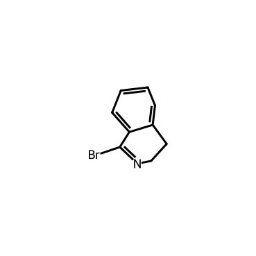 BrC1=NCCc2ccccc21